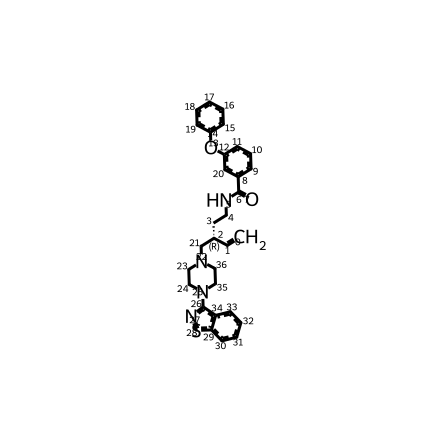 C=C[C@@H](CCNC(=O)c1cccc(Oc2ccccc2)c1)CN1CCN(c2nsc3ccccc23)CC1